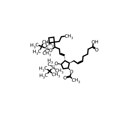 CCCC1(C(C/C=C/[C@@H]2[C@@H](C/C=C\CCCC(=O)O)[C@@H](OC(C)=O)C[C@H]2O[Si](C)(C)C(C)(C)C)O[Si](C)(C)C(C)(C)C)CCC1